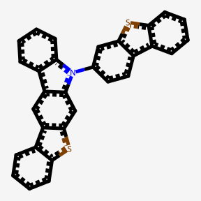 c1ccc2c(c1)sc1cc(-n3c4ccccc4c4cc5c(cc43)sc3ccccc35)ccc12